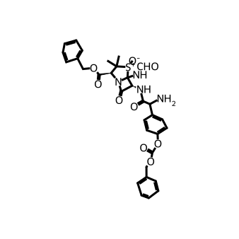 CC1(C)[C@H](C(=O)OCc2ccccc2)N2C(=O)[C@@H](NC(=O)C(N)c3ccc(OC(=O)OCc4ccccc4)cc3)C2(NC=O)[S+]1[O-]